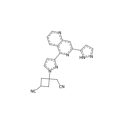 N#CCC1(n2ccc(-c3nc(-c4ccn[nH]4)cc4ncccc34)n2)CC(C#N)C1